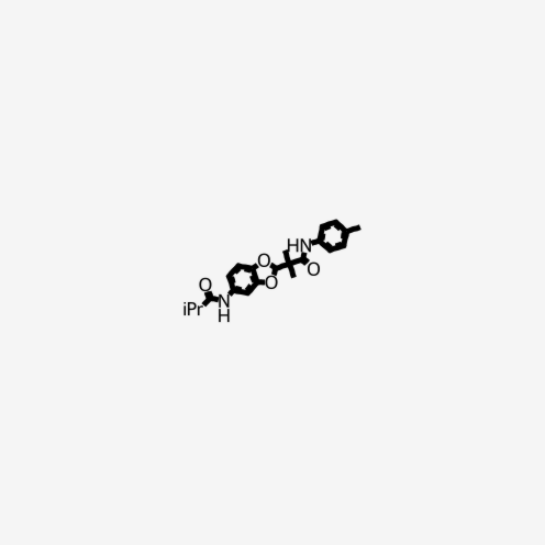 Cc1ccc(NC(=O)C(C)(C)C2Oc3ccc(NC(=O)C(C)C)cc3O2)cc1